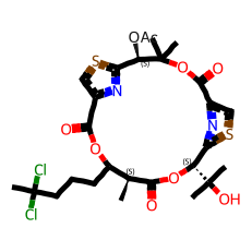 CC(=O)O[C@@H]1c2nc(cs2)C(=O)OC(CCCC(C)(Cl)Cl)[C@H](C)C(=O)O[C@@H](C(C)(C)O)c2nc(cs2)C(=O)OC1(C)C